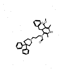 COC(=O)C1=C(C)NC(C)=C(N(C=O)CCCN2CCC(c3ccccc3)(c3ccccc3)CC2)C1Cc1ccccc1